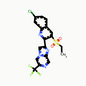 CCS(=O)(=O)c1cc2ccc(Cl)cc2nc1-c1cn2cc(C(F)(F)F)ncc2n1